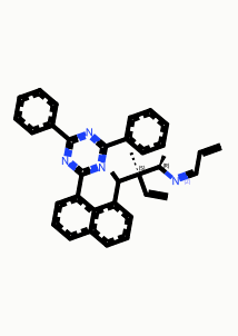 C=C/C=N\[C@H](C)[C@@](C)(C=C)C(C)c1cccc2cccc(-c3nc(-c4ccccc4)nc(-c4ccccc4)n3)c12